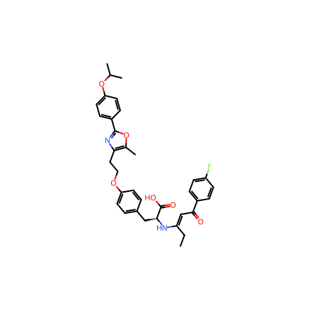 CC/C(=C\C(=O)c1ccc(F)cc1)N[C@@H](Cc1ccc(OCCc2nc(-c3ccc(OC(C)C)cc3)oc2C)cc1)C(=O)O